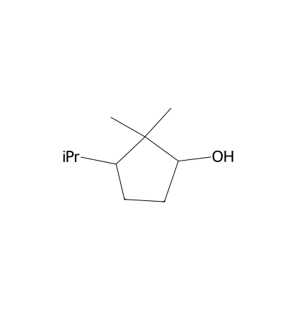 CC(C)C1CCC(O)C1(C)C